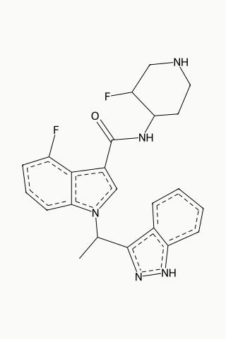 CC(c1n[nH]c2ccccc12)n1cc(C(=O)NC2CCNCC2F)c2c(F)cccc21